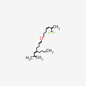 C=C(C)/C=C(/CC/C=C/OCCC/C=C\C(=C)C(F)F)CCCC